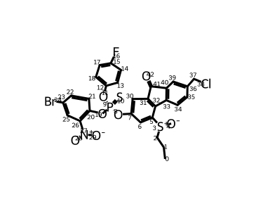 CCC[S+]([O-])c1cc(OP(=S)(Oc2ccc(F)cc2)Oc2ccc(Br)cc2[N+](=O)[O-])cc2c1-c1ccc(CCl)cc1C2=O